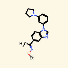 CCON=C(C)c1ccc2c(c1)ncn2-c1cccc(N2CCCC2)c1